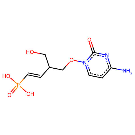 Nc1ccn(OCC(C=CP(=O)(O)O)CO)c(=O)n1